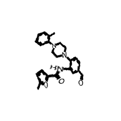 Cc1ccc(C(=O)Nc2cc(C=O)ccc2N2CCN(c3ccccc3C)CC2)o1